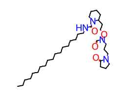 CCCCCCCCCCCCCCCCCCNC(=O)N1CCCCC1CCON(C=O)CCCN1CCCC1=O